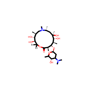 CCC1(CC)OC(=O)[C@H](C)[C@@H](O[C@H]2CC(N(C)C)[C@H](O)C(C)O2)[C@H](C)[C@@H](O)[C@](C)(O)C[C@@H](C)N(C)C[C@H](C)[C@@H](O)[C@@H]1O